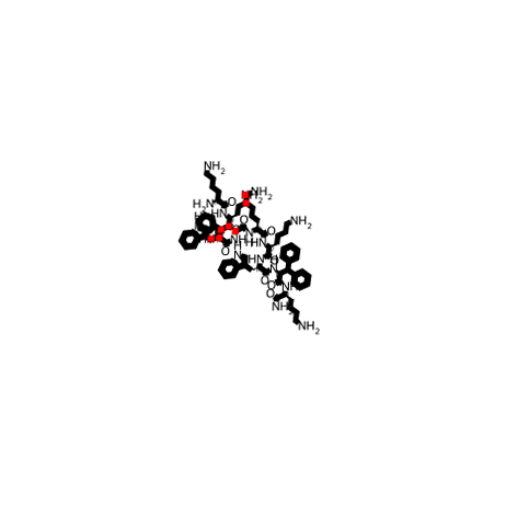 NCCCC[C@H](NC(=O)[C@@H](NC(=O)[C@H](Cc1c[nH]c2ccccc12)NC(=O)[C@H](CCCCN)NC(=O)[C@H](CCCCN)NC(=O)[C@H](Cc1c[nH]c2ccccc12)NC(=O)[C@H](Cc1c[nH]c2ccccc12)NC(=O)[C@H](CCCCN)NC(=O)[C@@H](N)CCCCN)C(c1ccccc1)c1ccccc1)C(N)=O